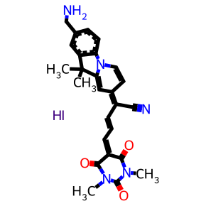 CN1C(=O)C(=CC=CC(C#N)=C2C=CN3C(=C2)C(C)(C)c2cc(CN)ccc23)C(=O)N(C)C1=O.I